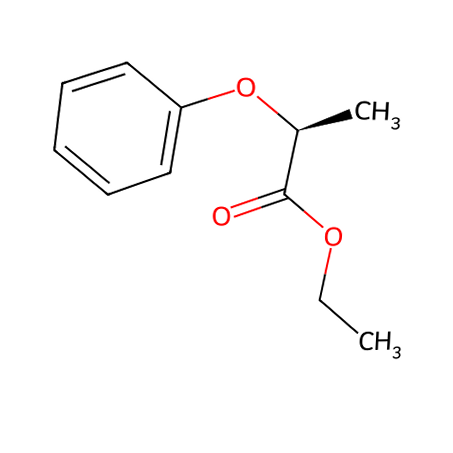 CCOC(=O)[C@H](C)Oc1ccccc1